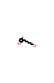 COCCCCCCCc1cc(OC)ccc1I